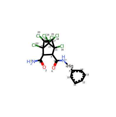 NC(=O)C1C(C(=O)[NH][Hg][c]2ccccc2)C2(Cl)C(Cl)=C(Cl)C1(Cl)C2(Cl)Cl